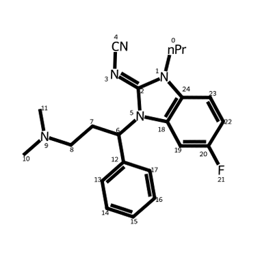 CCCn1c(=NC#N)n(C(CCN(C)C)c2ccccc2)c2cc(F)ccc21